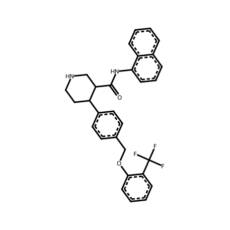 O=C(Nc1cccc2ccccc12)C1CNCCC1c1ccc(COc2ccccc2C(F)(F)F)cc1